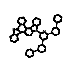 c1ccc(-c2cccc(-c3cc(-c4cccc(-c5ccccc5)c4)nc(-n4c5ccccc5c5c6c7ccccc7c7nc8ccccc8n7c6ccc54)c3)c2)cc1